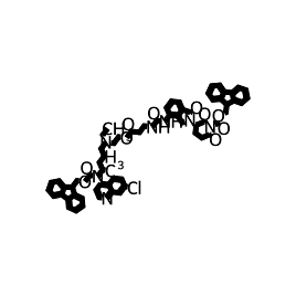 CCN(CCCC(C)N(C(=O)OCC1c2ccccc2-c2ccccc21)c1ccnc2cc(Cl)ccc12)CCOC(=O)CCNC(=O)Nc1cccc2c1CN(C1CCC(=O)N(C(=O)OCC3c4ccccc4-c4ccccc43)C1=O)C2=O